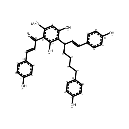 COc1cc(O)c([C@@H](/C=C/c2ccc(O)cc2)CCCCc2ccc(O)cc2)c(O)c1C(=O)/C=C/c1ccc(O)cc1